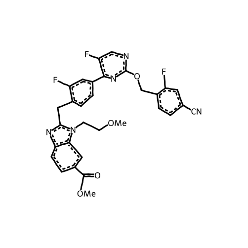 COCCn1c(Cc2ccc(-c3nc(OCc4ccc(C#N)cc4F)ncc3F)cc2F)nc2ccc(C(=O)OC)cc21